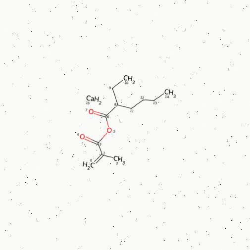 C=C(C)C(=O)OC(=O)C(CC)CCCC.[CaH2]